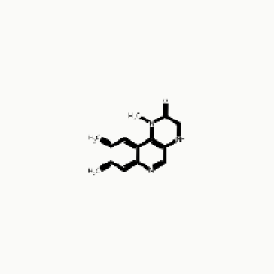 C=C/C=c1/c2c(cn/c1=C/C=C)NCC(=O)N2C